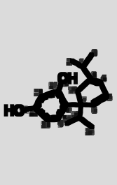 CC(C)C1=CC=CC(c2ccc(O)cc2O)(C(C)C)C1